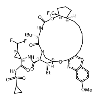 CC[C@@H]1[C@@H]2CN(C(=O)[C@H](C(C)(C)C)NC(=O)O[C@]3(C(F)(F)F)CCC[C@H]3CCCCCc3nc4ccc(OC)cc4nc3O2)[C@@H]1C(=O)N[C@]1(C(=O)NS(=O)(=O)C2CC2)C[C@H]1C(F)F